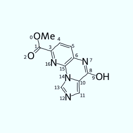 COC(=O)c1ccc2nc(O)c3cncn3c2n1